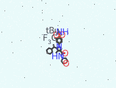 Cc1c(C(=O)NC2CCOCC2)cn(-c2ccc(S(=O)(=O)NC(C)(C)C)c(C(F)(F)F)c2)c1C(C)C1CCCCC1